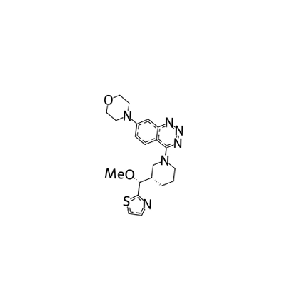 CO[C@@H](c1nccs1)[C@H]1CCCN(c2nnnc3cc(N4CCOCC4)ccc23)C1